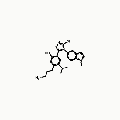 CC(C)c1cc(-c2nnc(O)n2-c2ccc3c(ccn3C)c2)c(O)cc1CCCN